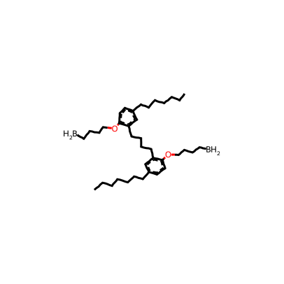 BCCCCOc1ccc(CCCCCCC)cc1CCCCc1cc(CCCCCCC)ccc1OCCCCB